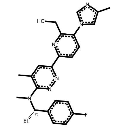 CC[C@@H](c1ccc(F)cc1)N(C)c1nnc(-c2ccc(-n3cnc(C)c3)c(CO)n2)cc1C